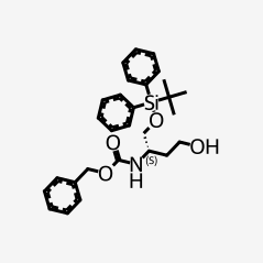 CC(C)(C)[Si](OC[C@H](CCO)NC(=O)OCc1ccccc1)(c1ccccc1)c1ccccc1